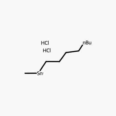 CCCCCCC[CH2][Sn][CH3].Cl.Cl